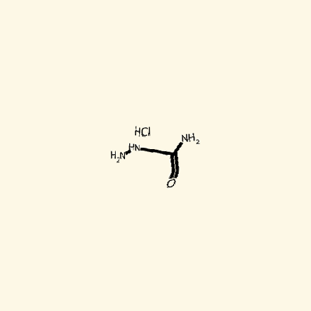 Cl.NNC(N)=O